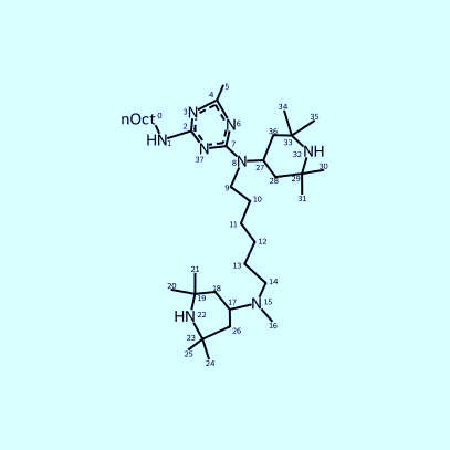 CCCCCCCCNc1nc(C)nc(N(CCCCCCN(C)C2CC(C)(C)NC(C)(C)C2)C2CC(C)(C)NC(C)(C)C2)n1